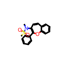 CN(C1=C(c2ccccc2)Oc2ccccc2C=C1)S(C)(=O)=O